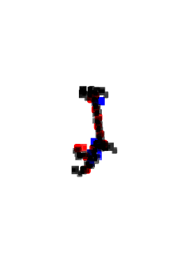 CCC(CC)(NC(=O)c1ccc(N2CC(OC)C2)c(OC[C@H]2C[C@@H]2CO)n1)C(=O)NCCOCCOCCOCCOCCNC(=O)OC(C)(C)C